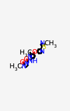 CCN1CCN(C(=O)Nc2ccc(Oc3ccnc(-c4cnc(C)s4)c3)c(C)n2)C1=O